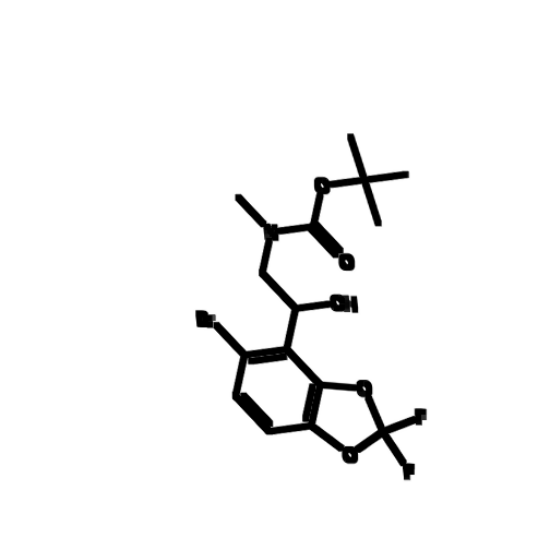 CN(CC(O)c1c(Br)ccc2c1OC(F)(F)O2)C(=O)OC(C)(C)C